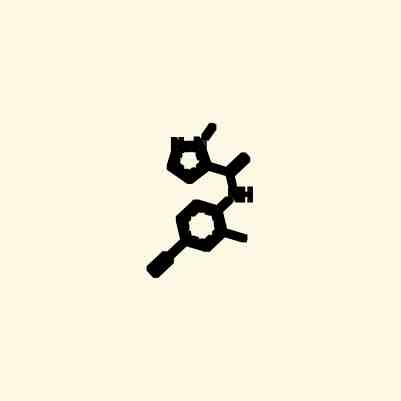 C#Cc1ccc(NC(=C)c2ccnn2C)c(C)c1